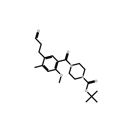 COc1cc(C)c(CCC=O)cc1C(=O)N1CCN(C(=O)OC(C)(C)C)CC1